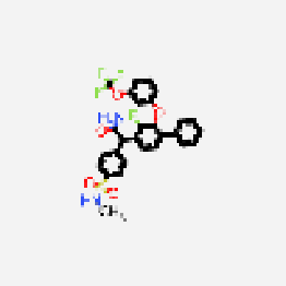 CNS(=O)(=O)c1ccc(C(C(N)=O)c2ccc(-c3ccccc3)c(Oc3cccc(OC(F)(F)F)c3)c2F)cc1